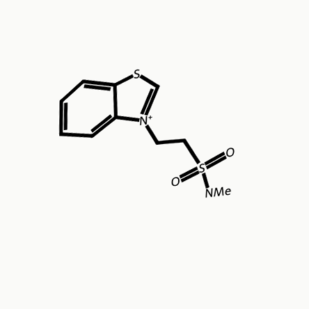 CNS(=O)(=O)CC[n+]1csc2ccccc21